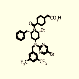 CC[C@@H]1C[C@H](N(Cc2cc(C(F)(F)F)cc(C(F)(F)F)c2)c2ncc(Br)cn2)C[C@H](Cc2ccccc2)N1C(=O)C1CCC(CC(=O)O)CC1